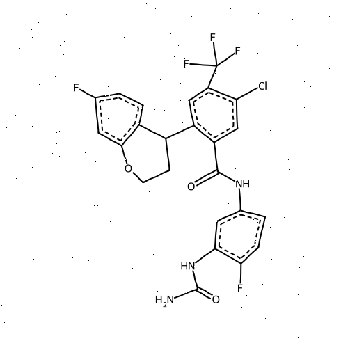 NC(=O)Nc1cc(NC(=O)c2cc(Cl)c(C(F)(F)F)cc2C2CCOc3cc(F)ccc32)ccc1F